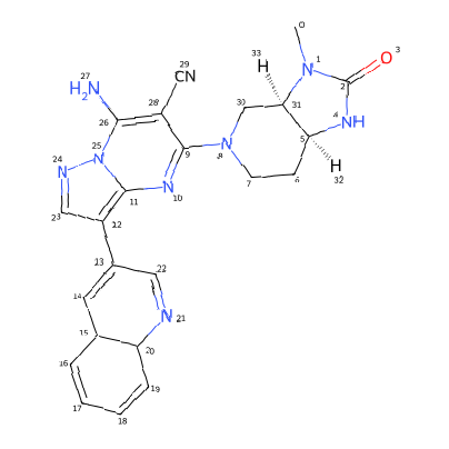 CN1C(=O)N[C@H]2CCN(c3nc4c(C5=CC6C=CC=CC6N=C5)cnn4c(N)c3C#N)C[C@H]21